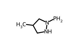 CC1CNN(P)C1